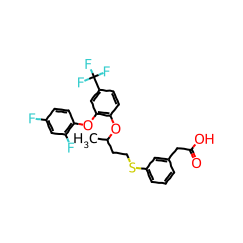 CC(CCSc1cccc(CC(=O)O)c1)Oc1ccc(C(F)(F)F)cc1Oc1ccc(F)cc1F